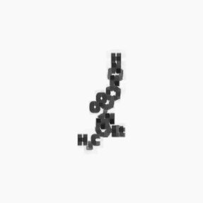 CCc1cc(C)cn2cc(-c3cc4ccc(N5CCNCC5)cc4oc3=O)nc12